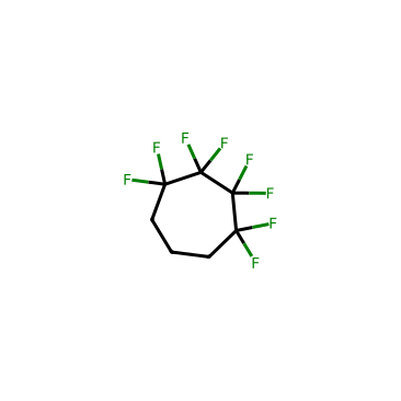 FC1(F)CCCC(F)(F)C(F)(F)C1(F)F